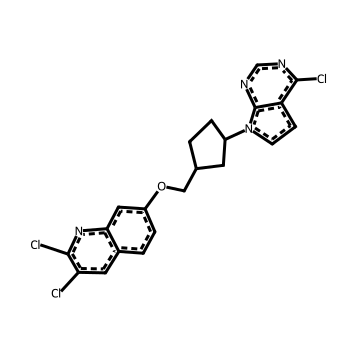 Clc1cc2ccc(OCC3CCC(n4ccc5c(Cl)ncnc54)C3)cc2nc1Cl